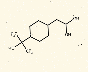 OC(O)CC1CCC(C(O)(C(F)(F)F)C(F)(F)F)CC1